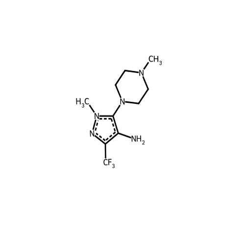 CN1CCN(c2c(N)c(C(F)(F)F)nn2C)CC1